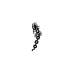 CCCc1ccc(-c2ccc(-c3ccc(C(F)(F)OC4=CC(F)[C@H](C(F)(F)OC(F)(F)F)C(F)=C4)c(F)c3)cc2)cc1